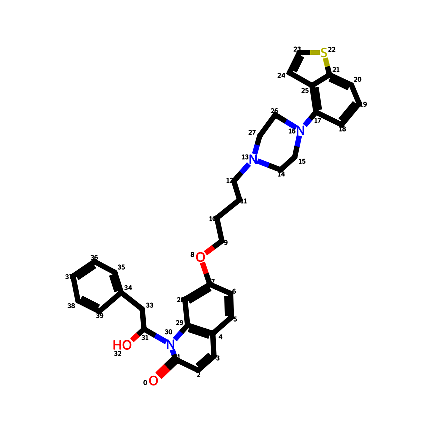 O=c1ccc2ccc(OCCCCN3CCN(c4cccc5sccc45)CC3)cc2n1C(O)Cc1ccccc1